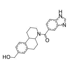 O=C(c1ccc2[nH]cnc2c1)N1CCCC2c3ccc(CO)cc3CCC21